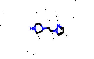 c1cnn(CCN2CCNCC2)c1